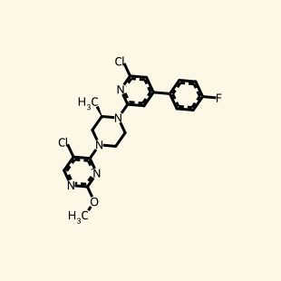 COc1ncc(Cl)c(N2CCN(c3cc(-c4ccc(F)cc4)cc(Cl)n3)[C@H](C)C2)n1